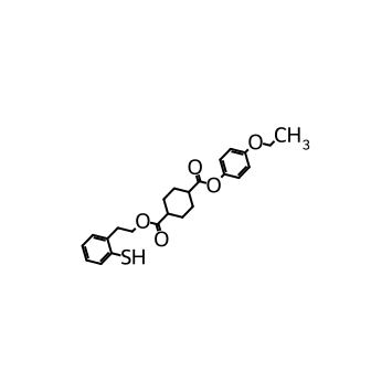 CCOc1ccc(OC(=O)C2CCC(C(=O)OCCc3ccccc3S)CC2)cc1